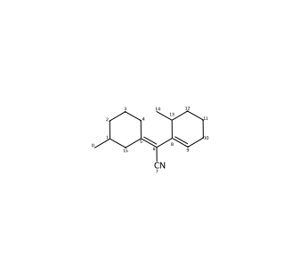 CC1CCCC(=C(C#N)C2=CCCCC2C)C1